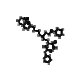 O=C(Cc1ccccc1)NC(CCN(CCCCc1ccc2c(n1)NCCC2)CCOc1ccccc1)C(=O)O